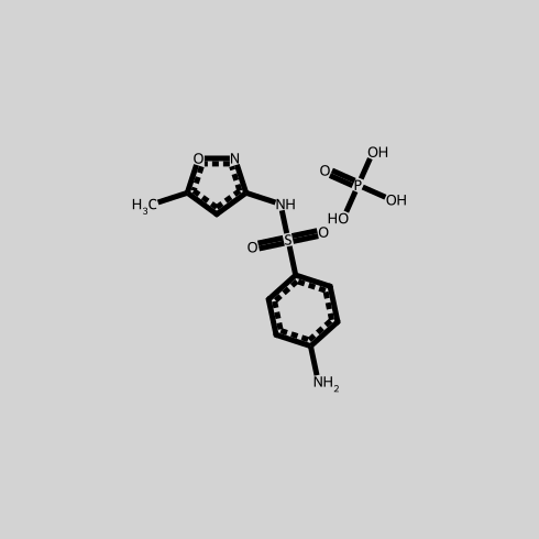 Cc1cc(NS(=O)(=O)c2ccc(N)cc2)no1.O=P(O)(O)O